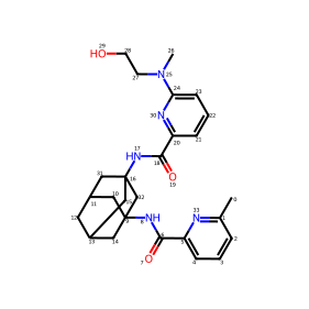 Cc1cccc(C(=O)NC23CC4CC(C2)CC(NC(=O)c2cccc(N(C)CCO)n2)(C4)C3)n1